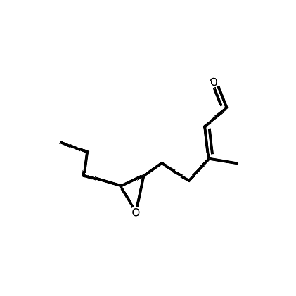 CCCC1OC1CCC(C)=CC=O